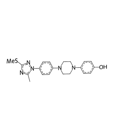 CSc1nc(C)n(-c2ccc(N3CCN(c4ccc(O)cc4)CC3)cc2)n1